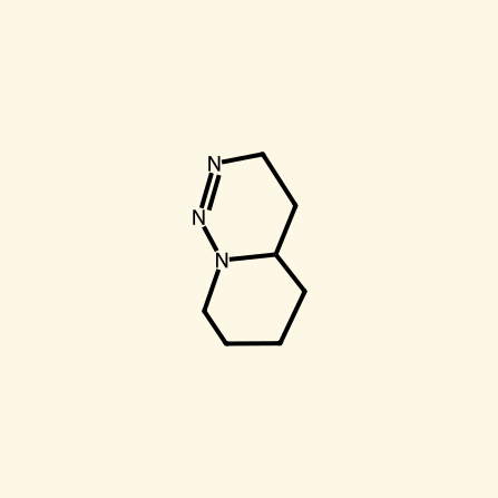 C1CCN2N=NCCC2C1